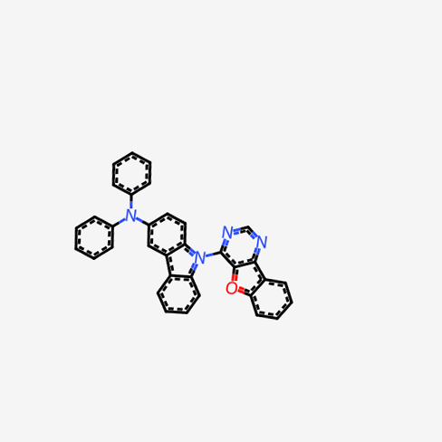 c1ccc(N(c2ccccc2)c2ccc3c(c2)c2ccccc2n3-c2ncnc3c2oc2ccccc23)cc1